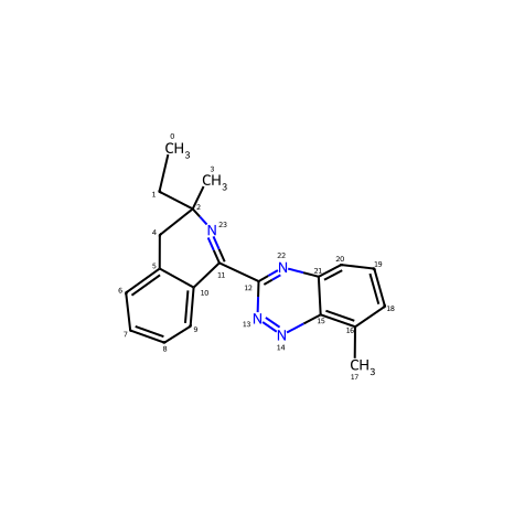 CCC1(C)Cc2ccccc2C(c2nnc3c(C)cccc3n2)=N1